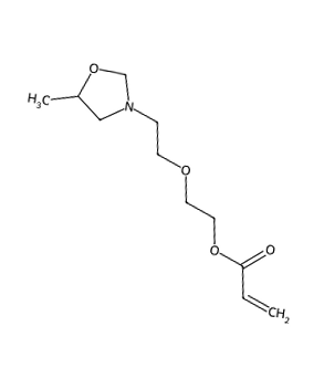 C=CC(=O)OCCOCCN1COC(C)C1